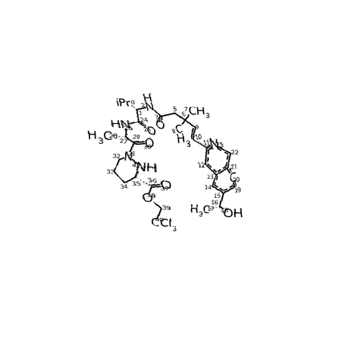 CC(C)[C@H](NC(=O)CC(C)(C)/C=C/c1cc2cc([C@@H](C)O)ccc2cn1)C(=O)N[C@@H](C)C(=O)N1CCC[C@@H](C(=O)OCC(Cl)(Cl)Cl)N1